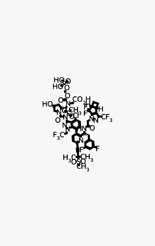 CC(C)(C#Cc1ccc(-c2ccc(Cl)c3c(N(C(=O)N4C[C@H](O)C[C@H]4CN(CC(=O)O)C(=O)OCOP(=O)(O)O)S(C)(=O)=O)nn(CC(F)(F)F)c23)c([C@H](Cc2cc(F)cc(F)c2)NC(=O)Cn2nc(C(F)(F)F)c3c2C(F)(F)[C@@H]2CC[C@H]32)n1)S(C)(=O)=O